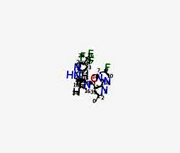 Cc1cnc(-c2ncc(F)cn2)c(C(=O)N2C[C@@H]3C[C@@H](Nc4ccc(C(F)(F)F)cn4)[C@@H]2C3)c1